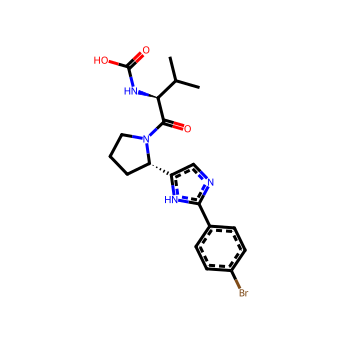 CC(C)[C@H](NC(=O)O)C(=O)N1CCC[C@H]1c1cnc(-c2ccc(Br)cc2)[nH]1